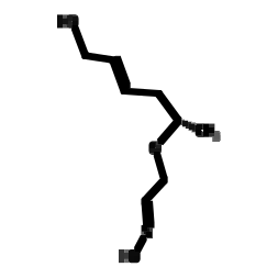 C[C@@H](C/C=C/CO)OCC=NO